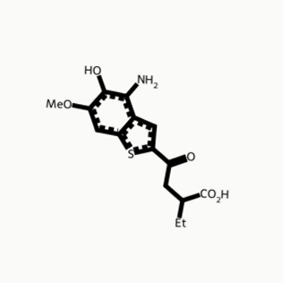 CCC(CC(=O)c1cc2c(N)c(O)c(OC)cc2s1)C(=O)O